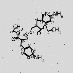 CCOC(=O)C(CSSCC(Cc1ccc(N)nc1)C(=O)OCC)Cc1ccc(N)nc1